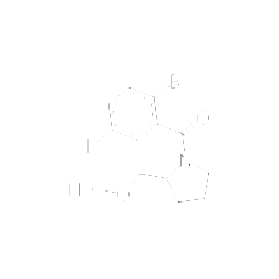 COCC1CCCN1C(=O)c1cc(F)ccc1Br